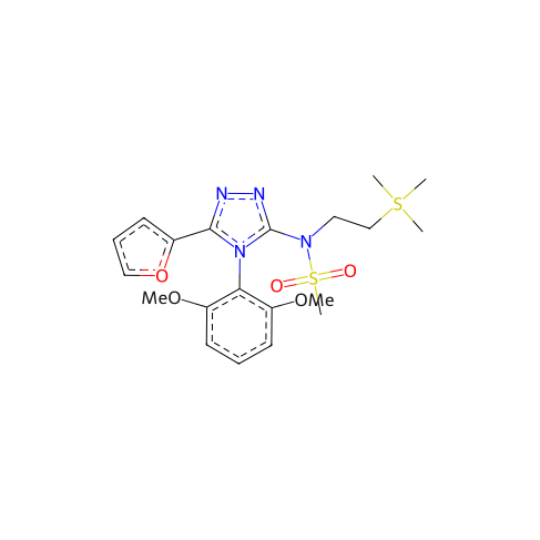 COc1cccc(OC)c1-n1c(-c2ccco2)nnc1N(CCS(C)(C)C)S(C)(=O)=O